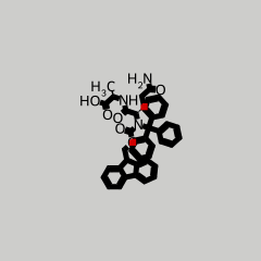 C[C@H](NC(=O)[C@H](CCC(N)=O)N(C(=O)OCC1c2ccccc2-c2ccccc21)C(c1ccccc1)(c1ccccc1)c1ccccc1)C(=O)O